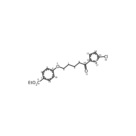 CCOC(=O)c1ccc(OCCCCC(=O)c2ccc(Cl)s2)cc1